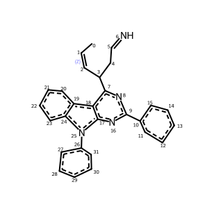 C/C=C\C(CC=N)c1nc(-c2ccccc2)nc2c1c1ccccc1n2-c1ccccc1